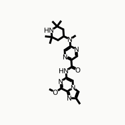 COc1nc(NC(=O)c2cnc(N(C)C3CC(C)(C)NC(C)(C)C3)cn2)cn2cc(C)nc12